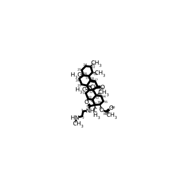 CNCCNC(=O)[C@]1(C)C2CC[C@]3(C)C(C(=O)C=C4C5[C@@H](C)[C@H](C)CC[C@]5(C)CC[C@]43C)[C@@]2(C)CC[C@H]1OC(C)=O